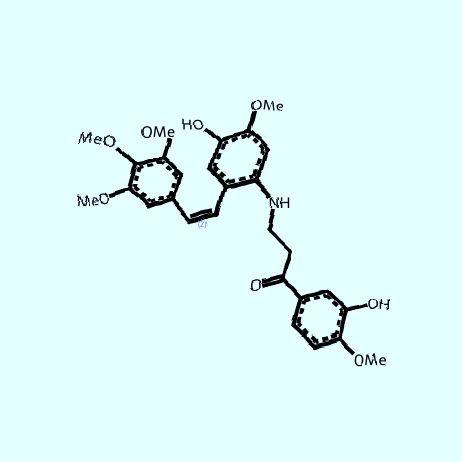 COc1ccc(C(=O)CCNc2cc(OC)c(O)cc2/C=C\c2cc(OC)c(OC)c(OC)c2)cc1O